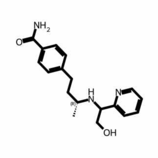 C[C@H](CCc1ccc(C(N)=O)cc1)NC(CO)c1ccccn1